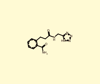 NC(=O)c1ccccc1[CH]CC(=O)NCc1nnn[nH]1